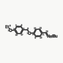 CCOc1ccc(COc2ccc(C=NC(C)CC)cc2)cc1